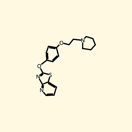 c1cnc2nc(Oc3ccc(OCCN4CCCCC4)cc3)sc2c1